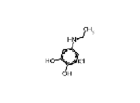 CCNc1ccc(O)c(O)c1.Cl